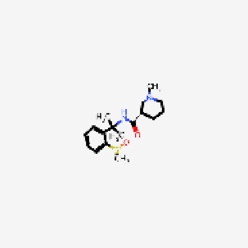 CN1CCC[C@H](C(=O)NC(C)(C)c2ccccc2[S+](C)[O-])C1